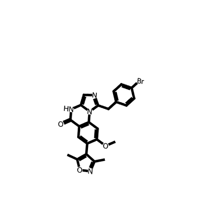 COc1cc2c(cc1-c1c(C)noc1C)c(=O)[nH]c1cnc(Cc3ccc(Br)cc3)n12